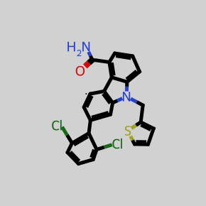 NC(=O)c1cccc2c1c1[c]cc(-c3c(Cl)cccc3Cl)cc1n2Cc1cccs1